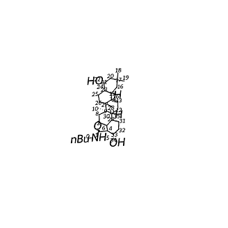 CCCCNC(=O)[C@@]1(C)C2CC[C@]3(C)[C@H](CC=C4[C@H]5CC(C)(C)C[C@@H](O)[C@]5(C)CC[C@]43C)[C@@]2(C)CC[C@@H]1O